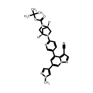 Cn1cc(-c2cc(-c3ccc(N4C[C@@H]5C[C@H]4CN5C(=O)OC(C)(C)C)nc3)c3c(C#N)cnn3c2)cn1